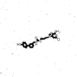 N#Cc1ccc(-c2cccc(CNC(=O)OCCCCn3cnc4c(N)nc(Cl)cc43)c2)cc1